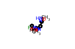 C[C@H]1Oc2c(F)cccc2N(Cc2c3cc(-c4ccc(S(C)(=N)=O)nc4)ccc3nn2C)C1=O